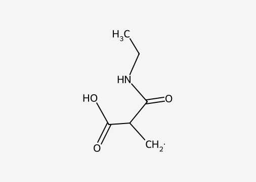 [CH2]C(C(=O)O)C(=O)NCC